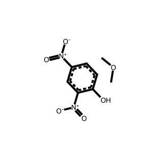 COC.O=[N+]([O-])c1ccc(O)c([N+](=O)[O-])c1